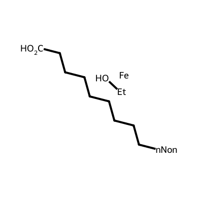 CCCCCCCCCCCCCCCCCC(=O)O.CCO.[Fe]